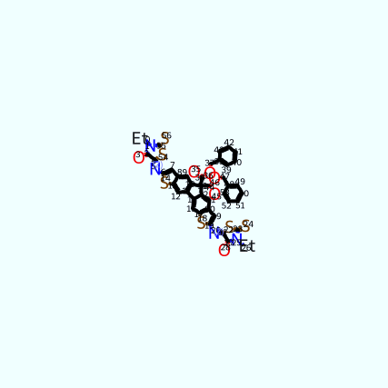 CCN1C(=O)/C(=N/c2cc3cc4c(cc3s2)-c2cc3sc(/N=C5\SC(=S)N(CC)C5=O)cc3cc2C4(C(=O)OCc2ccccc2)C(=O)OCc2ccccc2)SC1=S